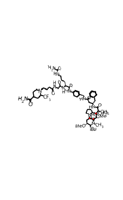 CCC(C)C(C(CC(=O)N1CCCC1C(OC)C(C)C(=O)NC(CC(=O)NCc1ccc(NC(=O)C(CCCNC(N)=O)NC(=O)CNC(=O)CCCN2CCC(C(N)=O)CC2C(F)(F)F)cc1)Cc1ccccc1)OC)N(C)C(=O)CNC=O